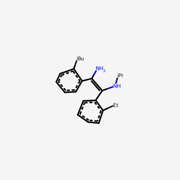 CCc1ccccc1/C(NC(C)C)=C(/N)c1ccccc1C(C)CC